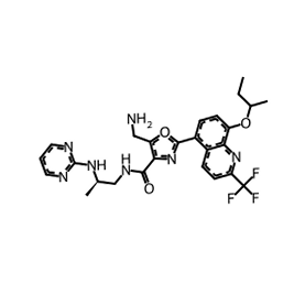 CCC(C)Oc1ccc(-c2nc(C(=O)NC[C@@H](C)Nc3ncccn3)c(CN)o2)c2ccc(C(F)(F)F)nc12